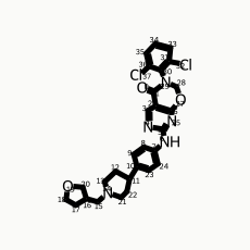 O=C1c2cnc(Nc3ccc(C4CCN(CC5CCOC5)CC4)cc3)nc2OCN1c1c(Cl)cccc1Cl